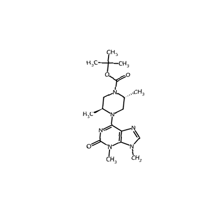 C[C@@H]1CN(c2nc(=O)n(C)c3c2ncn3C)[C@@H](C)CN1C(=O)OC(C)(C)C